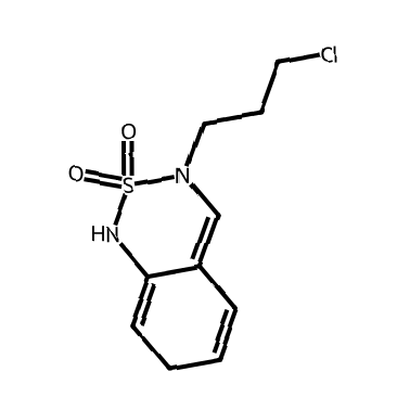 O=S1(=O)NC2=CCC=CC2=CN1CCCCl